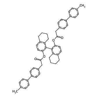 Cc1ccc(-c2ccc(CC(=O)Oc3ccc4c(c3-c3c(OC(=O)Cc5ccc(-c6ccc(C)cc6)cc5)ccc5c3CCCC5)CCCC4)cc2)cc1